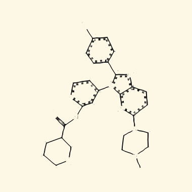 CN1CCN(c2ccc3nc(-c4ccc(F)cc4)n(-c4ccnc(NC(=O)C5CCCOC5)c4)c3n2)CC1